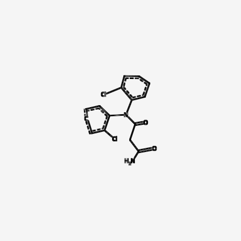 NC(=O)CC(=O)N(c1ccccc1Cl)c1ccccc1Cl